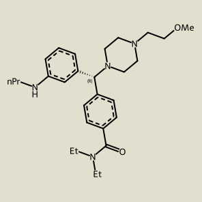 CCCNc1cccc([C@@H](c2ccc(C(=O)N(CC)CC)cc2)N2CCN(CCOC)CC2)c1